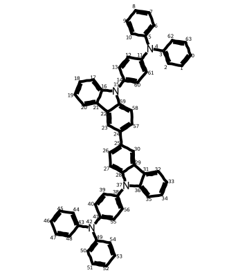 c1ccc(N(c2ccccc2)c2ccc(-n3c4ccccc4c4cc(-c5ccc6c(c5)c5ccccc5n6-c5ccc(N(c6ccccc6)c6ccccc6)cc5)ccc43)cc2)cc1